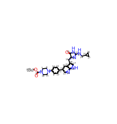 CC(C)(C)OC(=O)N1CCN(c2ccc(-c3cnc4[nH]cc(/C=C5\N=C(NCC6CC6)NC5=O)c4c3)cc2)CC1